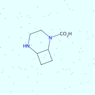 O=C(O)N1CCNC2CCC21